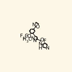 Cn1nc(C(=O)Nc2ccncc2F)cc1-c1cc(-c2ncco2)ccc1OC(F)(F)F